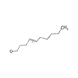 CCCCC/C=C/CCC[O]